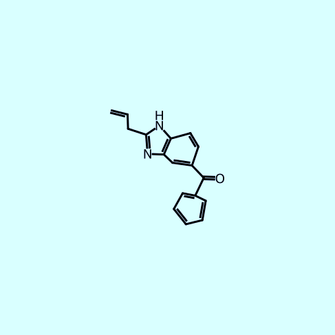 C=CCc1nc2cc(C(=O)c3ccccc3)ccc2[nH]1